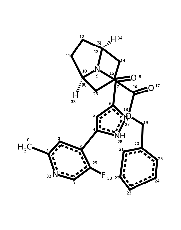 Cc1cc(-c2cc(C(=O)N3[C@@H]4CC[C@H]3CC(C(=O)OCc3ccccc3)C4)n[nH]2)c(F)cn1